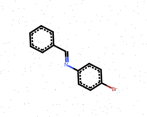 Brc1ccc(N=Cc2ccccc2)cc1